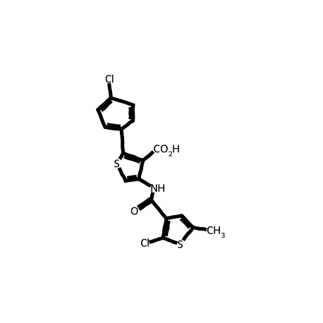 Cc1cc(C(=O)Nc2csc(-c3ccc(Cl)cc3)c2C(=O)O)c(Cl)s1